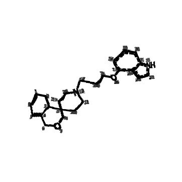 C1=CCC2C(=C1)COCC21CCN(CCCOc2cccc3[nH]ccc23)CC1